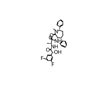 C[C@H](NC(=O)[C@H](O)c1cc(F)cc(F)c1)C(=O)N[C@@H]1C(=O)N(C)[C@@H](c2ccccc2)CC[C@@H]1c1ccccc1